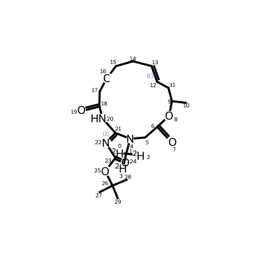 [2H]C([2H])([2H])N1CC(=O)OC(C)C/C=C/CCCCC(=O)N/C1=N/C(=O)OC(C)(C)C